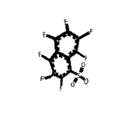 [O]S(=O)(=O)c1c(F)c(F)c(F)c2c(F)c(F)c(F)c(F)c12